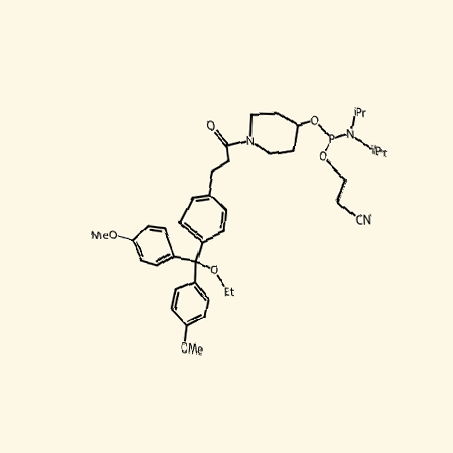 CCOC(c1ccc(CCC(=O)N2CCC(OP(OCCC#N)N(C(C)C)C(C)C)CC2)cc1)(c1ccc(OC)cc1)c1ccc(OC)cc1